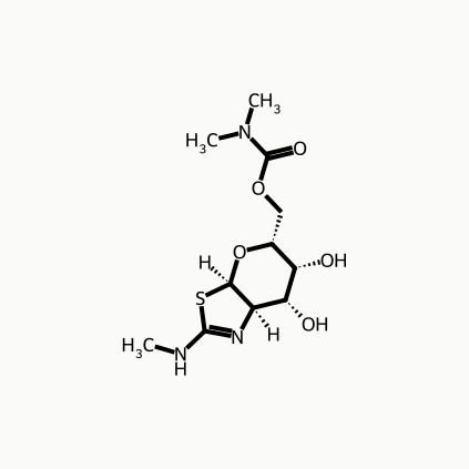 CNC1=N[C@@H]2[C@@H](O)[C@@H](O)[C@@H](COC(=O)N(C)C)O[C@@H]2S1